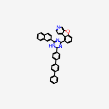 c1ccc(-c2ccc(-c3ccc(C4N=C(c5cccc6oc7cnccc7c56)N=C(c5ccc6ccccc6c5)N4)cc3)cc2)cc1